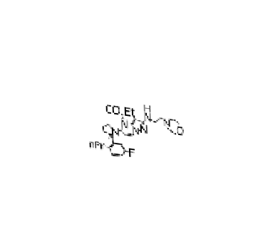 CCCc1ccc(F)cc1[C@H]1CCCN1c1ccn2nc(NCCN3CCOCC3)c(C(=O)OCC)c2n1